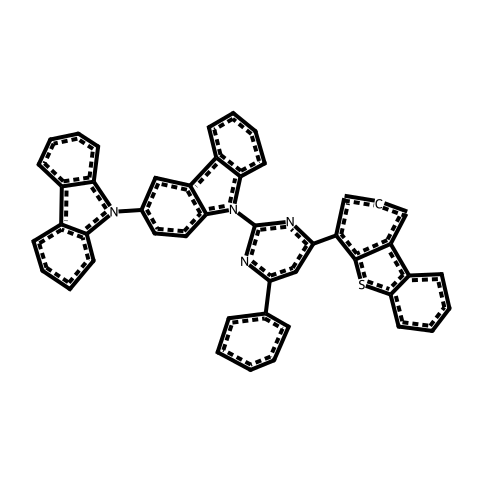 c1ccc(-c2cc(-c3cccc4c3sc3ccccc34)nc(-n3c4ccccc4c4cc(-n5c6ccccc6c6ccccc65)ccc43)n2)cc1